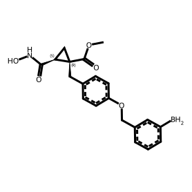 Bc1cccc(COc2ccc(C[C@]3(C(=O)OC)C[C@@H]3C(=O)NO)cc2)c1